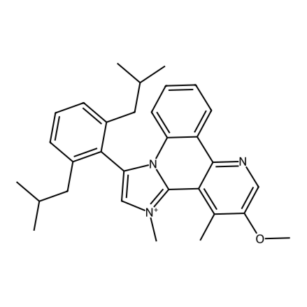 COc1cnc2c3ccccc3n3c(-c4c(CC(C)C)cccc4CC(C)C)c[n+](C)c3c2c1C